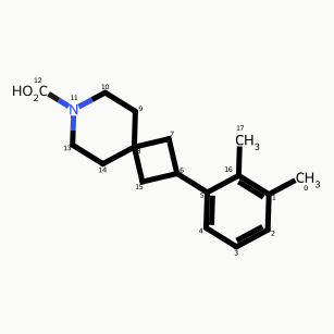 Cc1cccc(C2CC3(CCN(C(=O)O)CC3)C2)c1C